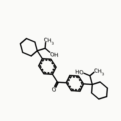 CC(O)C1(c2ccc(C(=O)c3ccc(C4(C(C)O)CCCCC4)cc3)cc2)CCCCC1